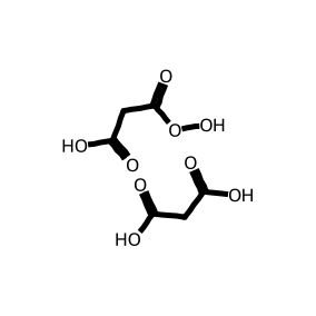 O=C(O)CC(=O)O.O=C(O)CC(=O)OO